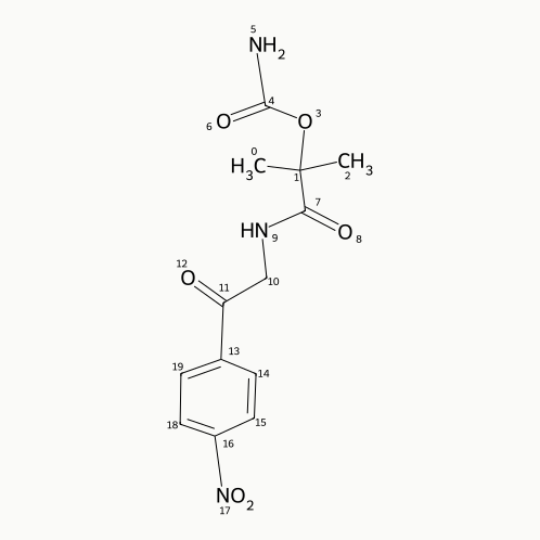 CC(C)(OC(N)=O)C(=O)NCC(=O)c1ccc([N+](=O)[O-])cc1